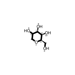 OC[C@H]1OC[C](O)[C@@H](O)[C@H]1O